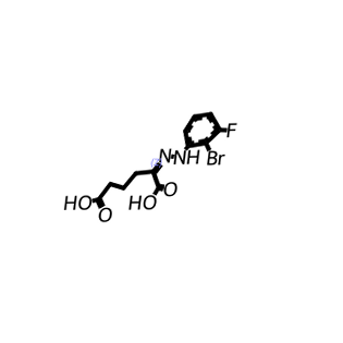 O=C(O)CCC/C(=N/Nc1cccc(F)c1Br)C(=O)O